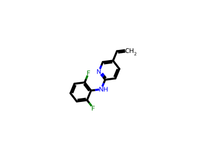 C=Cc1ccc(Nc2c(F)cccc2F)nc1